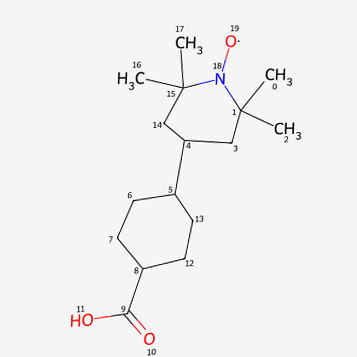 CC1(C)CC(C2CCC(C(=O)O)CC2)CC(C)(C)N1[O]